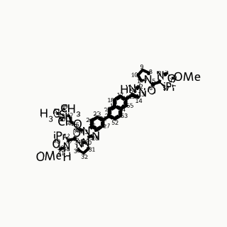 COO/C=N\[C@H](C(=O)N1CCC[C@H]1c1ncc(-c2ccc3cc(-c4ccc5c(c4)nc(N4CCCN4C(=O)[C@@H](NC(=O)OC)C(C)C)n5COCC[Si](C)(C)C)ccc3c2)[nH]1)C(C)C